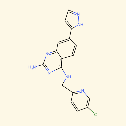 Nc1nc(NCc2ccc(Cl)cn2)c2ccc(-c3ccn[nH]3)cc2n1